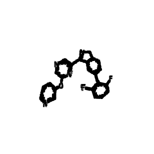 Fc1cccc(F)c1-c1ccc2c(c1)C(c1cncc(Oc3cccnc3)n1)=NC2